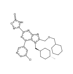 C[C@H]1CC[C@H](Cn2c(COCC3CCCCC3)nc3nc(-c4noc(=O)[nH]4)nc(-c4cncc(Cl)c4)c32)CC1